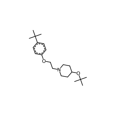 CC(C)(C)OC1CCN(CCOc2ccc(C(C)(C)C)cc2)CC1